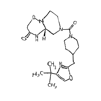 CC(C)(C)c1coc(CC2CCN(C(=O)N3CCN4OCC(=O)N[C@H]4C3)CC2)n1